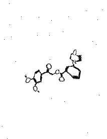 COc1ccc(C(=O)COC(=O)c2cccc(N3CCOCC3)c2)cc1OC